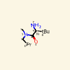 CC(C)CN(C)C(=O)[C@@H](N)C(C)(C)C